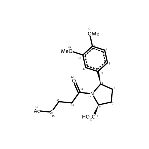 COc1ccc([C@H]2CC[C@@H](C(=O)O)N2C(=O)CCSC(C)=O)cc1OC